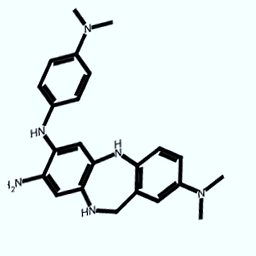 CN(C)c1ccc(Nc2cc3c(cc2N)NCc2cc(N(C)C)ccc2N3)cc1